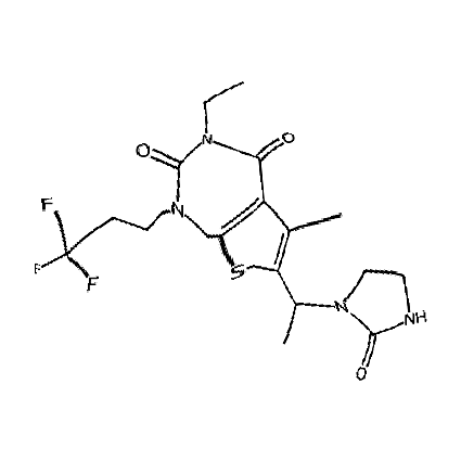 CCn1c(=O)c2c(C)c(C(C)N3CCNC3=O)sc2n(CCC(F)(F)F)c1=O